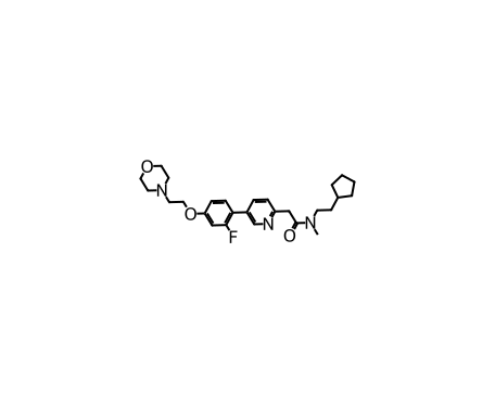 CN(CCC1CCCC1)C(=O)Cc1ccc(-c2ccc(OCCN3CCOCC3)cc2F)cn1